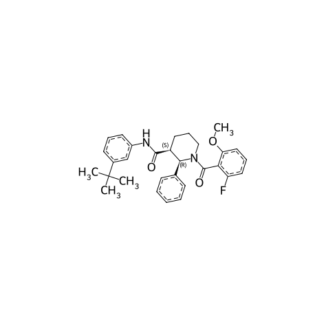 COc1cccc(F)c1C(=O)N1CCC[C@H](C(=O)Nc2cccc(C(C)(C)C)c2)[C@@H]1c1ccccc1